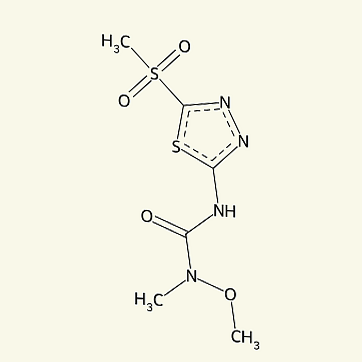 CON(C)C(=O)Nc1nnc(S(C)(=O)=O)s1